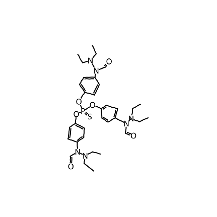 CCN(CC)N(C=O)c1ccc(OP(=S)(Oc2ccc(N(C=O)N(CC)CC)cc2)Oc2ccc(N(C=O)N(CC)CC)cc2)cc1